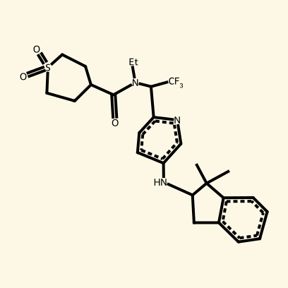 CCN(C(=O)C1CCS(=O)(=O)CC1)C(c1ccc(NC2Cc3ccccc3C2(C)C)cn1)C(F)(F)F